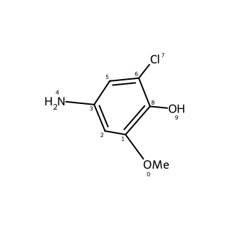 COc1cc(N)cc(Cl)c1O